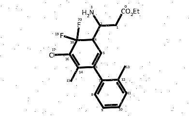 CCOC(=O)CC(N)C1C=C(c2ccccc2C)C(C)=C(Cl)C1(F)F